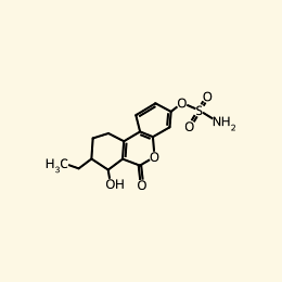 CCC1CCc2c(c(=O)oc3cc(OS(N)(=O)=O)ccc23)C1O